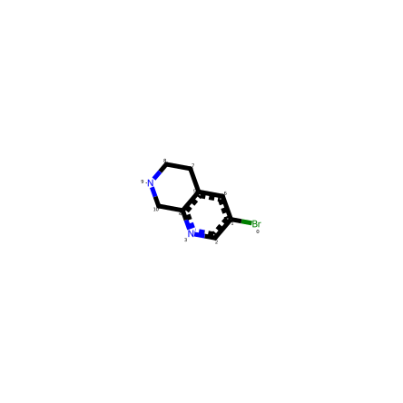 Brc1cnc2c(c1)CC[N]C2